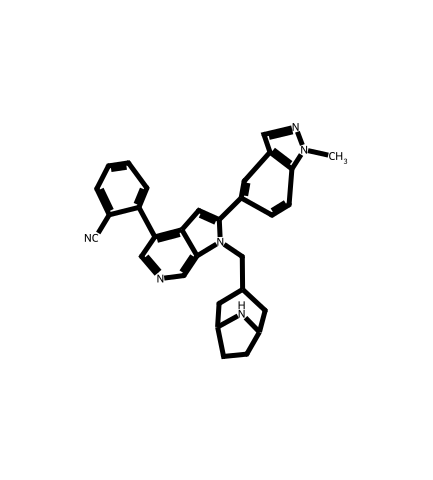 Cn1ncc2cc(-c3cc4c(-c5ccccc5C#N)cncc4n3CC3CC4CCC(C3)N4)ccc21